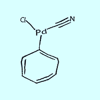 N#[C][Pd]([Cl])[c]1ccccc1